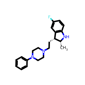 C[C@H]1Nc2ccc(F)cc2[C@H]1CCN1CCN(c2ccccc2)CC1